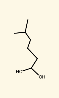 CC(C)CCC[C](O)O